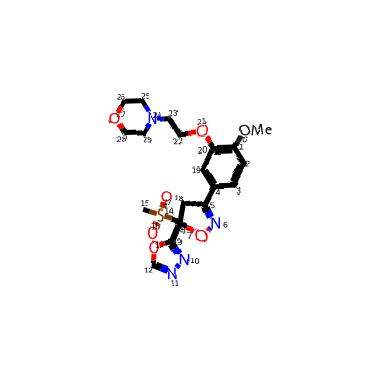 COc1ccc(C2=NOC(c3nnco3)(S(C)(=O)=O)C2)cc1OCCN1CCOCC1